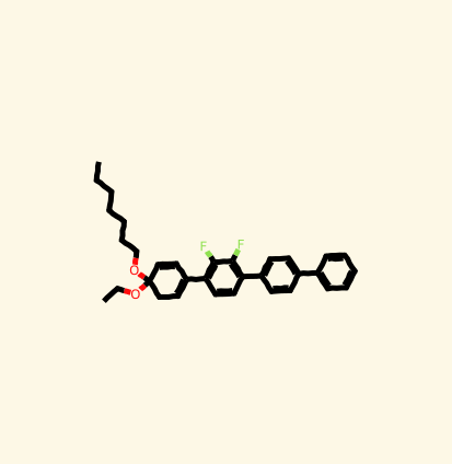 CCCCCCCOC1(OCC)C=CC(c2ccc(-c3ccc(-c4ccccc4)cc3)c(F)c2F)=CC1